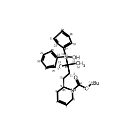 CC(C)(C)OC(=O)N1CC=CC[C@H]1CCC(C)(C)[Si](O)(c1ccccc1)c1ccccc1